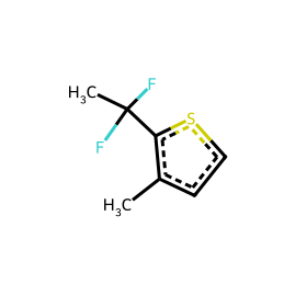 Cc1ccsc1C(C)(F)F